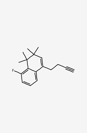 C#CCCC1=CC(C)(C)C(C)(C)c2c(F)cccc21